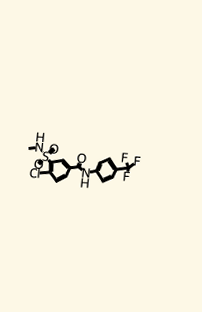 CNS(=O)(=O)c1cc(C(=O)Nc2ccc(C(F)(F)F)cc2)ccc1Cl